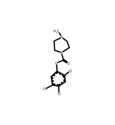 CN1CCN(C(=O)Oc2cc(Cl)c(Cl)cc2Cl)CC1